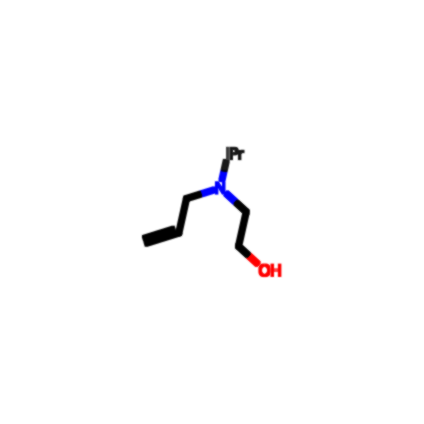 C=CCN(CCO)C(C)C